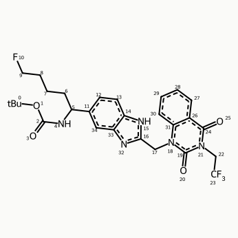 CC(C)(C)OC(=O)NC(CCCCF)c1ccc2[nH]c(Cn3c(=O)n(CC(F)(F)F)c(=O)c4ccccc43)nc2c1